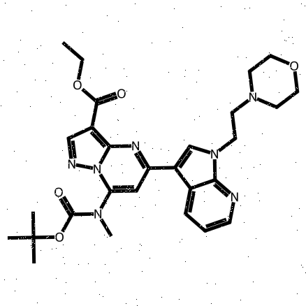 CCOC(=O)c1cnn2c(N(C)C(=O)OC(C)(C)C)cc(-c3cn(CCN4CCOCC4)c4ncccc34)nc12